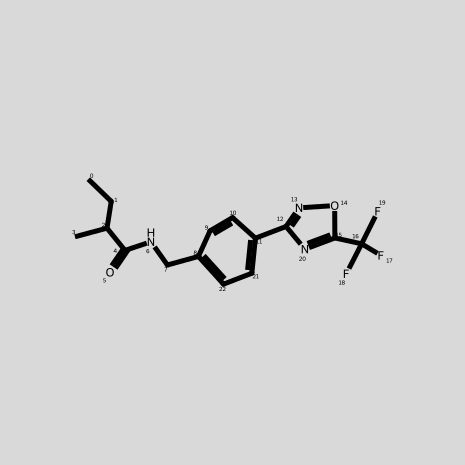 CCC(C)C(=O)NCc1ccc(-c2noc(C(F)(F)F)n2)cc1